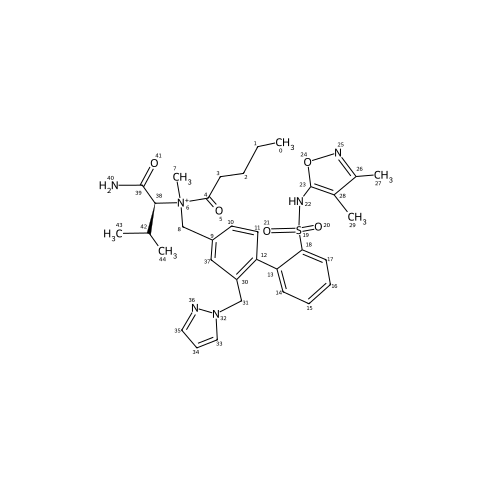 CCCCC(=O)[N+](C)(Cc1ccc(-c2ccccc2S(=O)(=O)Nc2onc(C)c2C)c(Cn2cccn2)c1)[C@H](C(N)=O)C(C)C